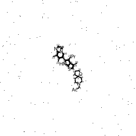 CC(=O)CN1CCC2(CC1)C[C@H](c1sc3[nH]c(-c4cn5ncnc5c(C)c4C)c(C(C)C)c3c1C)CO2